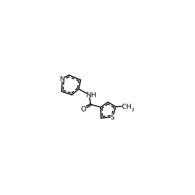 Cc1cc(C(=O)Nc2ccncc2)cs1